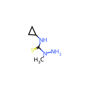 CN(N)C(=S)NC1CC1